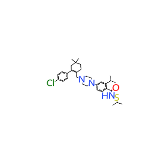 CC(C)SNC(=O)c1ccc(N2CCN(CC3=C(c4ccc(Cl)cc4)CC(C)(C)CC3)CC2)cc1C(C)C